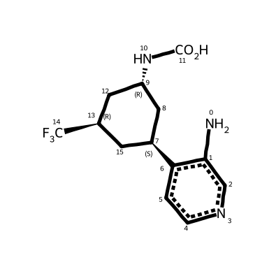 Nc1cnccc1[C@@H]1C[C@@H](NC(=O)O)C[C@H](C(F)(F)F)C1